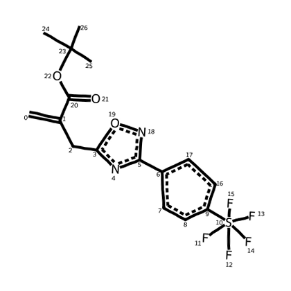 C=C(Cc1nc(-c2ccc(S(F)(F)(F)(F)F)cc2)no1)C(=O)OC(C)(C)C